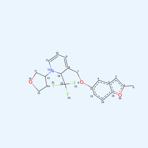 Cc1cc2cc(OCC3=CC=CN(C4CCOC4)C3C(F)(F)F)ccc2o1